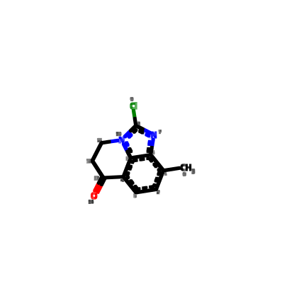 Cc1ccc2c3c1nc(Cl)n3CCC2=O